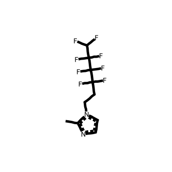 Cc1nccn1CCC(F)(F)C(F)(F)C(F)(F)C(F)F